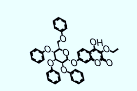 CCOc1c(O)c2ccc(O[C@H]3O[C@H](COc4ccccc4)[C@@H](Oc4ccccc4)[C@H](Oc4ccccc4)[C@@H]3Oc3ccccc3)cc2oc1=O